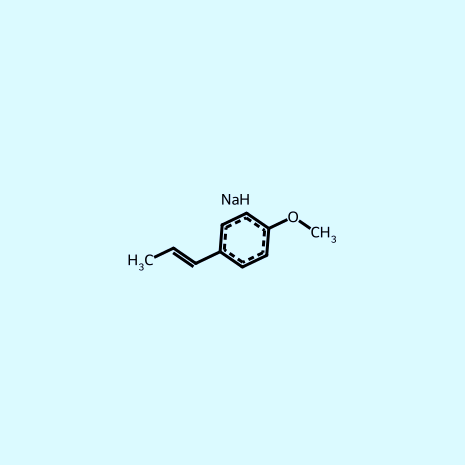 CC=Cc1ccc(OC)cc1.[NaH]